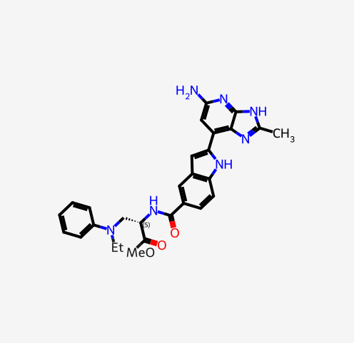 CCN(C[C@H](NC(=O)c1ccc2[nH]c(-c3cc(N)nc4[nH]c(C)nc34)cc2c1)C(=O)OC)c1ccccc1